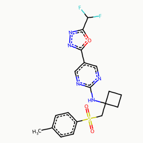 Cc1ccc(S(=O)(=O)CC2(Nc3ncc(-c4nnc(C(F)F)o4)cn3)CCC2)cc1